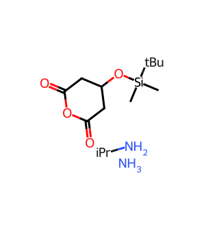 CC(C)(C)[Si](C)(C)OC1CC(=O)OC(=O)C1.CC(C)N.N